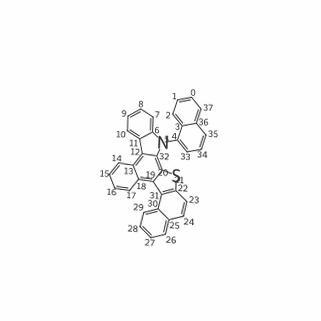 c1ccc2c(-n3c4ccccc4c4c5ccccc5c5c(sc6ccc7ccccc7c65)c43)cccc2c1